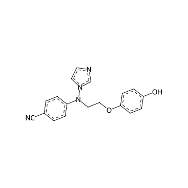 N#Cc1ccc(N(CCOc2ccc(O)cc2)n2ccnc2)cc1